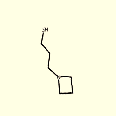 SCCCN1CCC1